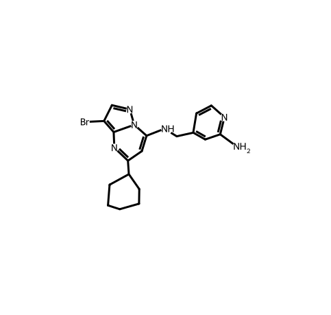 Nc1cc(CNc2cc(C3CCCCC3)nc3c(Br)cnn23)ccn1